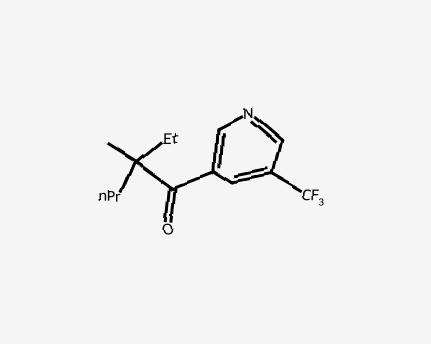 CCCC(C)(CC)C(=O)c1cncc(C(F)(F)F)c1